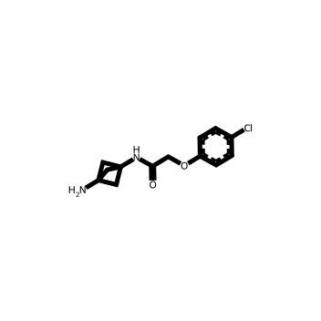 NC12CC(NC(=O)COc3ccc(Cl)cc3)(C1)C2